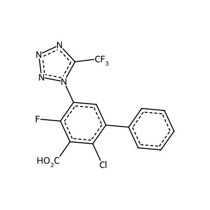 O=C(O)c1c(F)c(-n2nnnc2C(F)(F)F)cc(-c2ccccc2)c1Cl